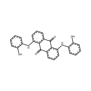 O=C1c2cccc(Nc3ccccc3O)c2C(=O)c2cccc(Nc3ccccc3O)c21